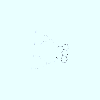 CC(C)CCCN(CCCC(=O)c1cccc2cc3cccc(C(=O)CCCN(CCCC(C)C)CCCC(C)C)c3cc12)CCCC(C)C